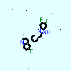 C[C@@H](c1nc2cc(F)c(F)cc2[nH]1)[C@H]1CC[C@@H](c2ccnc3ccc(F)cc32)CC1